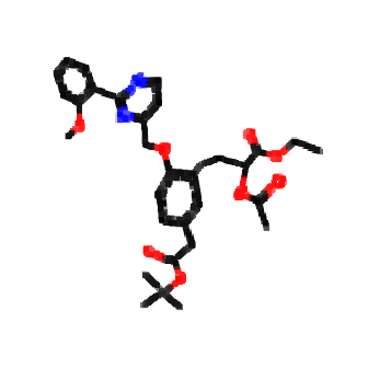 CCOC(=O)C(Cc1cc(CC(=O)OC(C)(C)C)ccc1OCc1ccnc(-c2ccccc2OC)n1)OC(C)=O